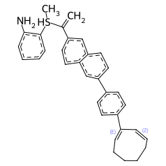 C=C(c1ccc2cc(-c3ccc(C4=C/CCCC/C=C\4)cc3)ccc2c1)[SH](C)c1ccccc1N